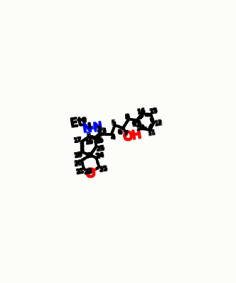 CCn1nc(CCC(O)Cc2ccccc2)c2c1C=CC1(CCOCC1)C2